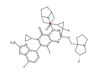 Nc1nc2c(-c3c(F)c4nc(OCC56CCCN5C[C@H](F)C6)nc(N5CC6CCC(C5)N6C(=O)C5CC5(F)F)c4c(=O)n3C3CC3)ccc(F)c2s1